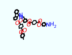 Cc1ccc(OC(=O)C2CCC(C(=O)Oc3ccc(OC(=O)C4CCC(C(=O)Oc5ccc(N)cc5)CC4)cc3/C=N/N=C3c4ccccc4-c4ccccc43)CC2)cc1